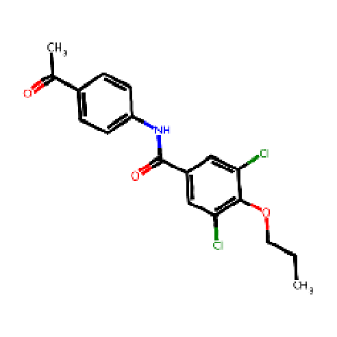 CCCOc1c(Cl)cc(C(=O)Nc2ccc(C(C)=O)cc2)cc1Cl